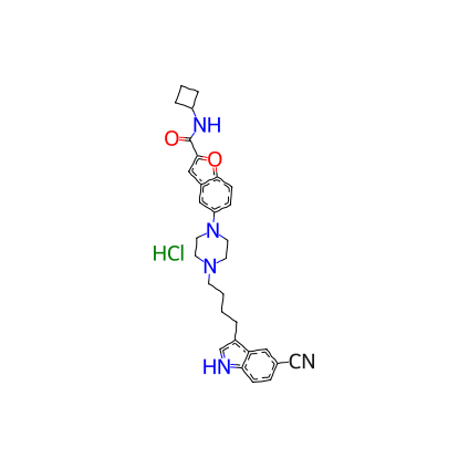 Cl.N#Cc1ccc2[nH]cc(CCCCN3CCN(c4ccc5oc(C(=O)NC6CCC6)cc5c4)CC3)c2c1